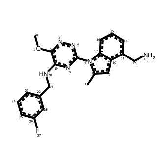 COc1nnc(-n2c(C)cc3c(CN)cccc32)nc1NCc1cccc(F)c1